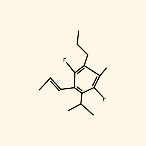 C/C=C/c1c(F)c(CCC)c(C)c(F)c1C(C)C